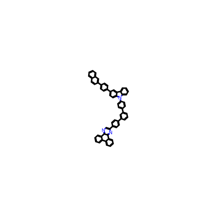 c1cc(-c2ccc(-c3cnc4c5ccccc5c5ccccc5c4n3)cc2)cc(-c2ccc(-n3c4ccccc4c4cc(-c5ccc(-c6ccc7ccccc7c6)cc5)ccc43)cc2)c1